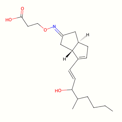 CCCCC(C)C(O)C=CC1=CC[C@@H]2C/C(=N/OCCC(=O)O)C[C@@H]12